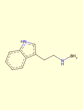 BNCCc1c[nH]c2ccccc12